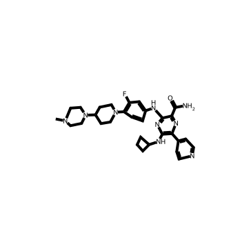 CN1CCN(C2CCN(c3ccc(Nc4nc(NC5CCC5)c(-c5ccncc5)nc4C(N)=O)cc3F)CC2)CC1